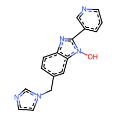 On1c(-c2cccnc2)nc2ccc(Cn3ccnc3)cc21